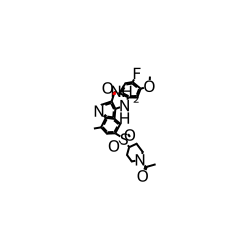 COc1cc(Nc2c(C(N)=O)cnc3c(C)cc(S(=O)(=O)C4CCN(C(C)=O)CC4)cc23)ccc1F